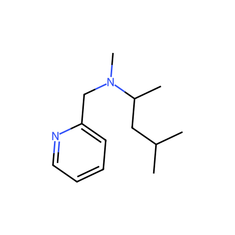 CC(C)CC(C)N(C)Cc1ccccn1